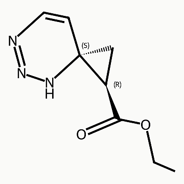 CCOC(=O)[C@@H]1C[C@]12C=CN=NN2